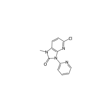 Cn1c(=O)n(-c2ccccn2)c2nc(Cl)ccc21